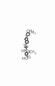 COc1cc(C(=O)O)ccc1NSc1csc(-c2ccc3cc(C4CCC(C)(C)CC4)ccc3c2)n1